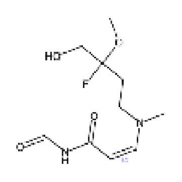 COC(F)(CO)CCN(C)/C=C\C(=O)NC=O